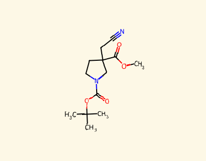 COC(=O)C1(CC#N)CCN(C(=O)OC(C)(C)C)C1